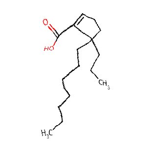 CCCCCCCC1(CCC)CCC=C1C(=O)O